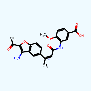 COc1ccc(C(=O)O)cc1NC(=O)/C=C(/C)c1ccc2oc(C(C)=O)c(N)c2c1